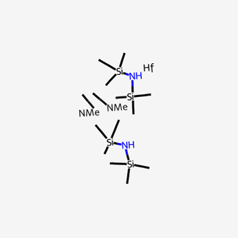 CNC.CNC.C[Si](C)(C)N[Si](C)(C)C.C[Si](C)(C)N[Si](C)(C)C.[Hf]